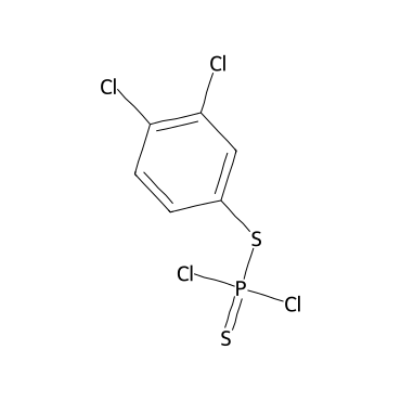 S=P(Cl)(Cl)Sc1ccc(Cl)c(Cl)c1